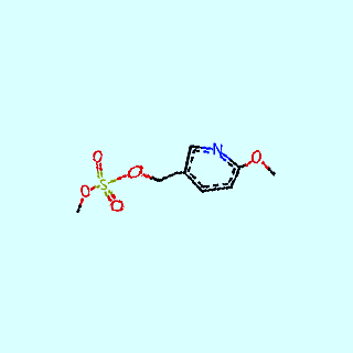 COc1ccc(COS(=O)(=O)OC)cn1